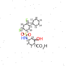 O=C(O)c1ccc(NS(=O)(=O)c2cc(-c3ccccc3)c(F)cc2F)cc1O